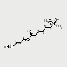 CCCCCCCCCCCCOC(=O)CCCCC[N+](C)(C)[O-]